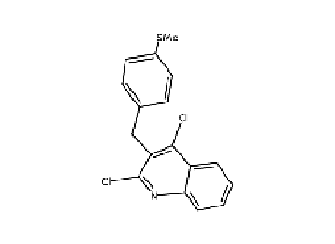 CSc1ccc(Cc2c(Cl)nc3ccccc3c2Cl)cc1